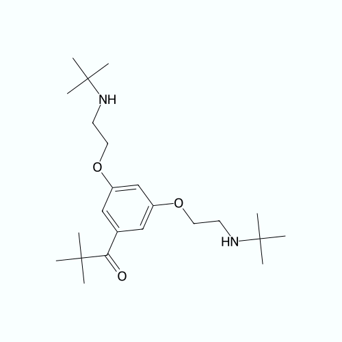 CC(C)(C)NCCOc1cc(OCCNC(C)(C)C)cc(C(=O)C(C)(C)C)c1